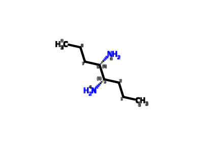 CCC[C@H](N)[C@@H](N)CCC